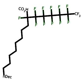 CCCCCCCCCCCCCCCCCCC(F)(C(=O)O)C(F)(F)C(F)(F)C(F)(F)C(F)(F)C(F)(F)C(F)(F)F